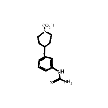 NC(=S)Nc1cccc(C2CCN(C(=O)O)CC2)c1